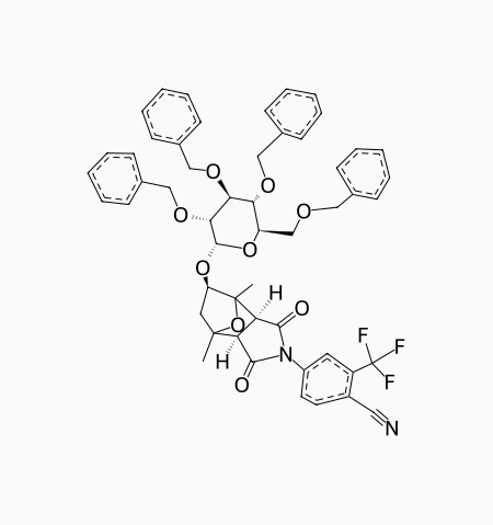 CC12C[C@@H](O[C@H]3O[C@H](COCc4ccccc4)[C@@H](OCc4ccccc4)[C@H](OCc4ccccc4)[C@H]3OCc3ccccc3)C(C)(O1)[C@H]1C(=O)N(c3ccc(C#N)c(C(F)(F)F)c3)C(=O)[C@H]12